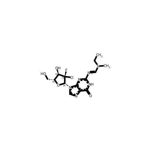 CCN(C)/C=N/c1nc2c(ncn2[C@@H]2O[C@H](CO)[C@@H](O)[C@]2(F)Cl)c(=O)[nH]1